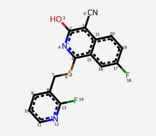 N#Cc1c(O)nc(SCc2cccnc2F)c2cc(F)ccc12